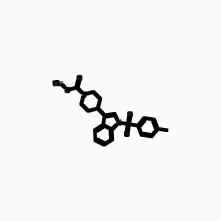 Cc1ccc(S(=O)(=O)n2cc(C3CCN(C(=O)OC(C)(C)C)CC3)c3ccccc32)cc1